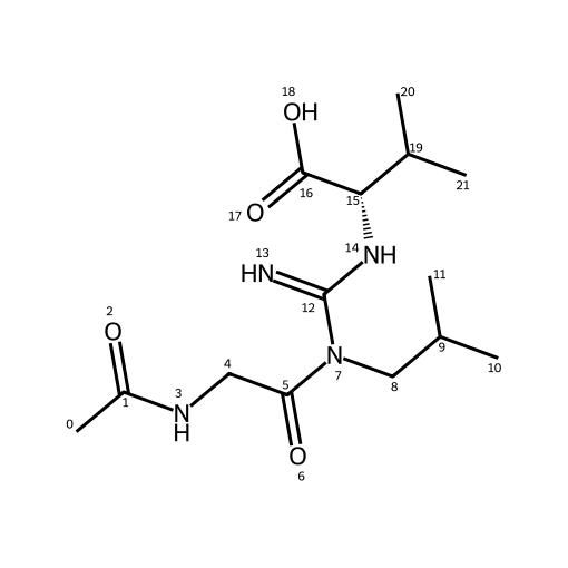 CC(=O)NCC(=O)N(CC(C)C)C(=N)N[C@H](C(=O)O)C(C)C